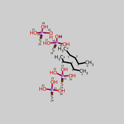 CCCCC.CCCCC.OP(O)(O)=S.OP(O)(O)=S.OP(O)(O)=S.OP(O)(O)=S